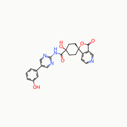 O=C1O[C@]2(CC[C@@](O)(C(=O)Nc3ncc(-c4cccc(O)c4)cn3)CC2)c2ccncc21